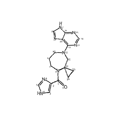 O=C(c1c[nH]cn1)N1CCCN(c2ncnc3[nH]ccc23)CC12CC2